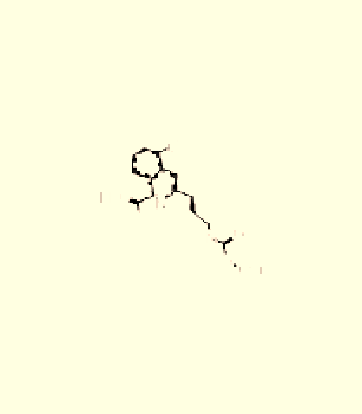 C=C(c1nc(/C=C/CNC(=O)OC(C)(C)C)cc2c(Cl)cccc12)C(F)(F)F